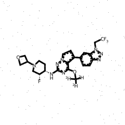 [2H]C([2H])([2H])Oc1nc(N[C@H]2CCN(C3COC3)C[C@H]2F)nn2ccc(-c3ccc4nnn(CC(F)(F)F)c4c3)c12